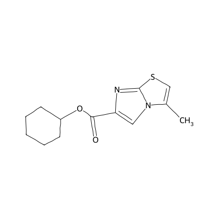 Cc1csc2nc(C(=O)OC3CCCCC3)cn12